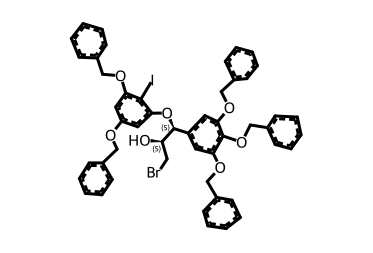 O[C@H](CBr)[C@@H](Oc1cc(OCc2ccccc2)cc(OCc2ccccc2)c1I)c1cc(OCc2ccccc2)c(OCc2ccccc2)c(OCc2ccccc2)c1